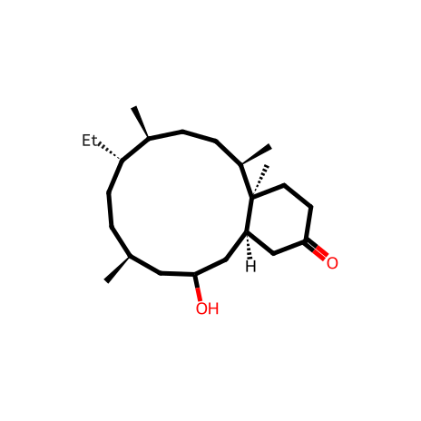 CC[C@H]1CC[C@H](C)CC(O)C[C@@H]2CC(=O)CC[C@]2(C)[C@H](C)CC[C@@H]1C